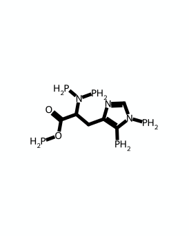 O=C(OP)C(Cc1ncn(P)c1P)N(P)P